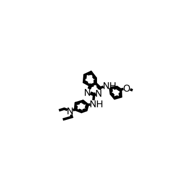 CCN(CC)c1ccc(Nc2nc(Nc3cccc(OC)c3)c3ccccc3n2)cc1